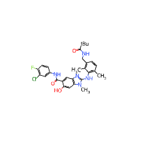 Cc1ccc(CNC(=O)C(C)(C)C)c(C)c1Nc1nc2cc(C(=O)Nc3ccc(F)c(Cl)c3)c(O)cc2n1C